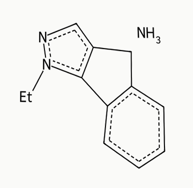 CCn1ncc2c1-c1ccccc1C2.N